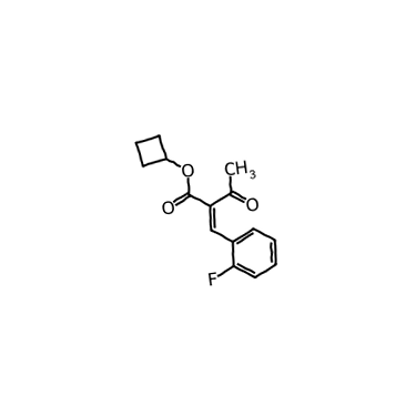 CC(=O)/C(=C\c1ccccc1F)C(=O)OC1CCC1